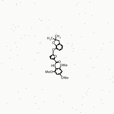 COc1cc(OC)c(NC(=O)c2ccc(Oc3cccc4c3OC(C)(C)C4)o2)c(OC)c1